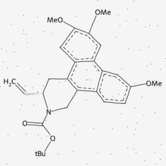 C=C[C@@H]1Cc2c(c3ccc(OC)cc3c3cc(OC)c(OC)cc23)CN1C(=O)OC(C)(C)C